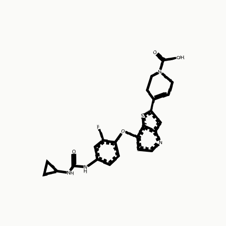 O=C(Nc1ccc(Oc2ccnc3cc(C4=CCN(C(=O)O)CC4)sc23)c(F)c1)NC1CC1